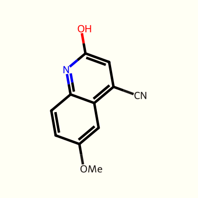 COc1ccc2nc(O)cc(C#N)c2c1